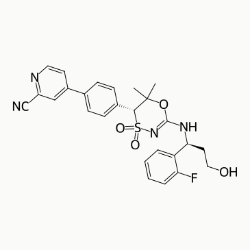 CC1(C)OC(N[C@@H](CCO)c2ccccc2F)=NS(=O)(=O)[C@@H]1c1ccc(-c2ccnc(C#N)c2)cc1